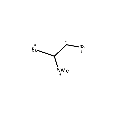 CCC(CC(C)C)NC